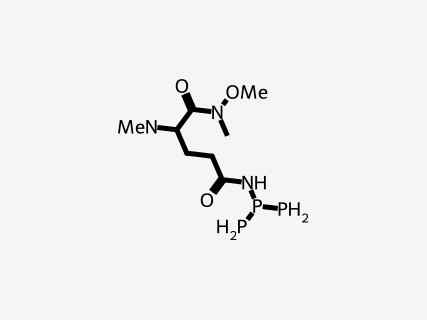 CNC(CCC(=O)NP(P)P)C(=O)N(C)OC